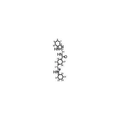 O=C(NCc1nc2ccccc2[nH]1)c1ccc(/C=N/Nc2ccccc2)cc1